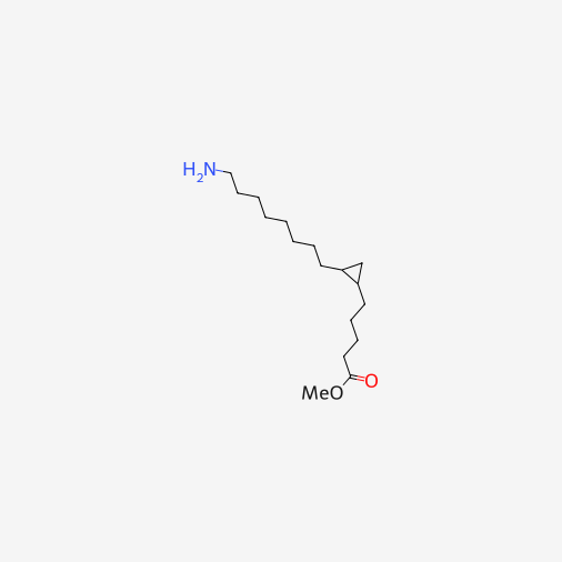 COC(=O)CCCCC1CC1CCCCCCCCN